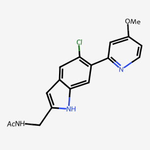 COc1ccnc(-c2cc3[nH]c(CNC(C)=O)cc3cc2Cl)c1